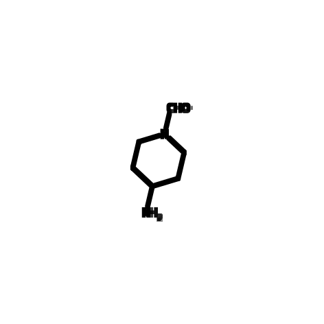 NC1CCN([C]=O)CC1